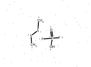 CSSC.O=P(O)(F)F